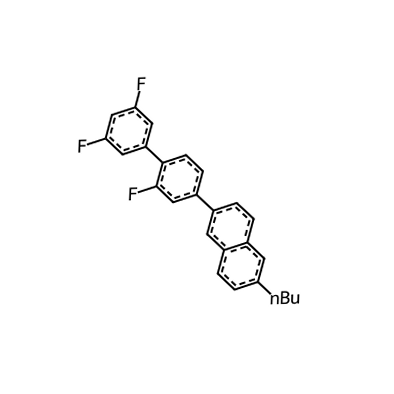 CCCCc1ccc2cc(-c3ccc(-c4cc(F)cc(F)c4)c(F)c3)ccc2c1